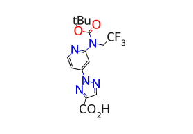 CC(C)(C)OC(=O)N(CC(F)(F)F)c1cc(-n2ncc(C(=O)O)n2)ccn1